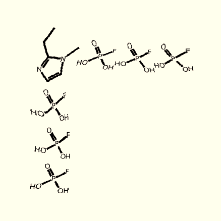 CCc1nccn1C.O=P(O)(O)F.O=P(O)(O)F.O=P(O)(O)F.O=P(O)(O)F.O=P(O)(O)F.O=P(O)(O)F